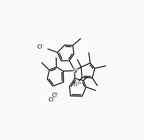 CC1=C(C)C(C)([Si](c2cc(C)cc(C)c2)(c2cccc(C)c2C)c2cccc(C)c2C)[C]([Ti+3])=C1C.[Cl-].[Cl-].[Cl-]